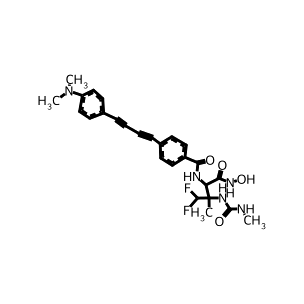 CNC(=O)NC(C)(C(F)F)C(NC(=O)c1ccc(C#CC#Cc2ccc(N(C)C)cc2)cc1)C(=O)NO